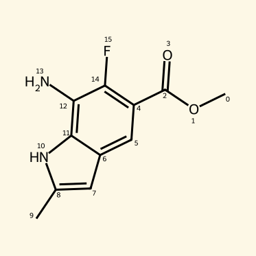 COC(=O)c1cc2cc(C)[nH]c2c(N)c1F